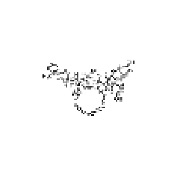 CCN1CCOCCOCCOCCC(=O)NC(C(C)(C)C)C(N2C[C@H](O)C[C@H]2C(=O)N[C@@H](C)c2ccc(-c3scnc3C)cc2)[C@@H](Oc2ccc(C(=O)c3c(-c4ccc(O)cc4)sc4cc(O)ccc34)cc2)C1